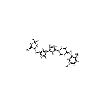 CC1(C)OC(=O)[C@@H](Cc2nc(-c3nnc(N4CCC(Oc5cc(F)ccc5Br)CC4)s3)no2)O1